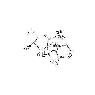 O=C(O)[C@H]1O[C@@H](O)[C@H](O)[C@@H](O)[C@@]1(O)C1(O)C=Nc2ccccc21.[NaH]